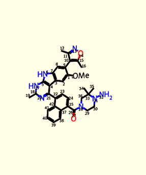 COc1cc2c3c([nH]c2cc1-c1c(C)noc1C)NC(C)N=C3c1ccc(C(=O)N2CCN(N)C(C)(C)C2)c2ccccc12